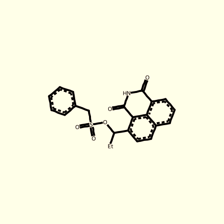 CCC(OS(=O)(=O)Cc1ccccc1)c1ccc2cccc3c2c1C(=O)NC3=O